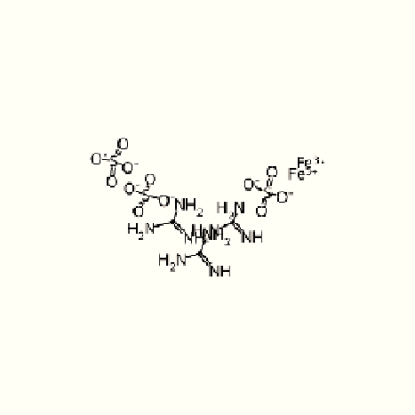 N=C(N)N.N=C(N)N.N=C(N)N.O=S(=O)([O-])[O-].O=S(=O)([O-])[O-].O=S(=O)([O-])[O-].[Fe+3].[Fe+3]